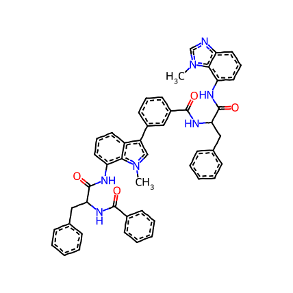 Cn1cnc2cccc(NC(=O)C(Cc3ccccc3)NC(=O)c3cccc(-c4cn(C)c5c(NC(=O)C(Cc6ccccc6)NC(=O)c6ccccc6)cccc45)c3)c21